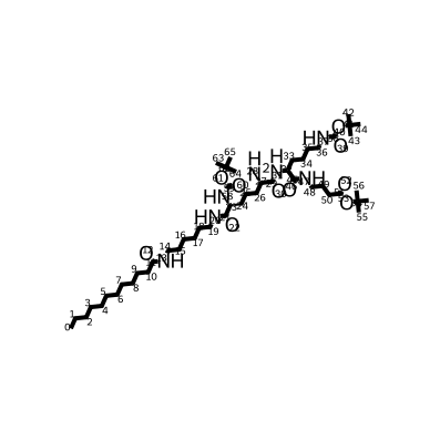 CCCCCCCCCCCC(=O)NCCCCCCNC(=O)[C@H](CCCC(N)C(=O)NC(CCCCNC(=O)OC(C)(C)C)C(=O)NCCCC(=O)OC(C)(C)C)NC(=O)OC(C)(C)C